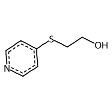 OCCSc1ccncc1